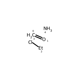 C=O.CCCl.N